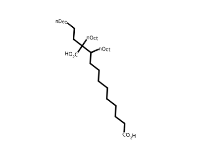 CCCCCCCCCCCCC(CCCCCCCC)(C(=O)O)C(CCCCCCCC)CCCCCCCCC(=O)O